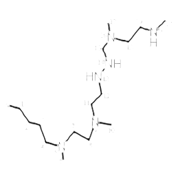 CCCCCN(C)CCN(C)CCNNCN(C)CCNC